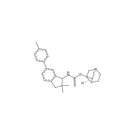 Cc1ccc(-c2ccc3c(c2)C(NC(=O)O[C@H]2CN4CCC2CC4)C(C)(C)C3)cc1